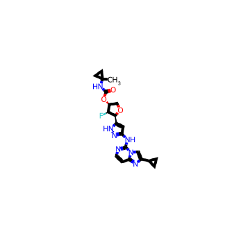 CC1(NC(=O)O[C@H]2CO[C@@H](c3cc(Nc4nccc5nc(C6CC6)cn45)n[nH]3)[C@H]2F)CC1